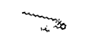 C=CC(=O)NC.CCCCCCCCCCCCCCCC[N+](C)(C)C(C)(C)c1ccccc1CCC